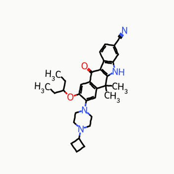 CCC(CC)Oc1cc2c(cc1N1CCN(C3CCC3)CC1)C(C)(C)c1[nH]c3cc(C#N)ccc3c1C2=O